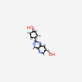 OCc1cnc2cnc(-c3ccc(O)cc3)nc2c1